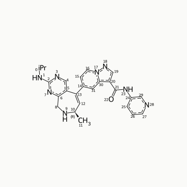 CC(C)Nc1ncc2c(n1)CN[C@H](C)C=C2c1ccn2ncc(C(=O)Nc3cccnc3)c2c1